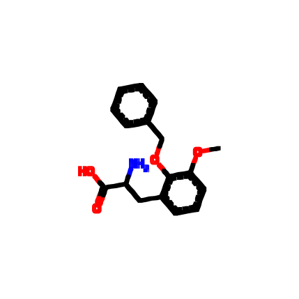 COc1cccc(CC(N)C(=O)O)c1OCc1ccccc1